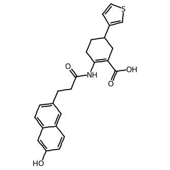 O=C(CCc1ccc2cc(O)ccc2c1)NC1=C(C(=O)O)CC(c2ccsc2)CC1